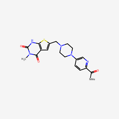 CNC(=O)c1ccc(N2CCN(Cc3cc4c(=O)n(C)c(=O)[nH]c4s3)CC2)cn1